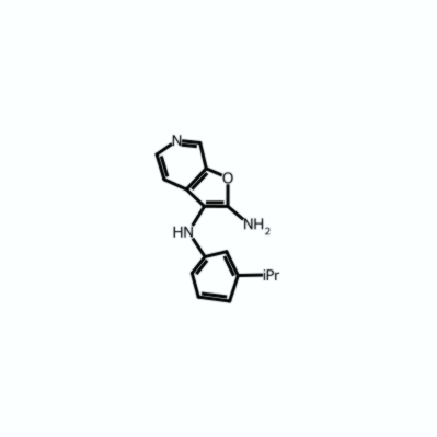 CC(C)c1cccc(Nc2c(N)oc3cnccc23)c1